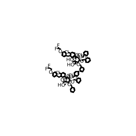 CO[C@@]1(c2ccc(Cl)c(Cc3ccc(OCC(F)F)cc3)c2)OC(CO)(CO)[C@@H](OCc2ccccc2)[C@H](OCc2ccccc2)C1OCc1ccccc1.CO[C@@]1(c2ccc(Cl)c(Cc3ccc(OCC(F)F)cc3)c2)O[C@@](C=O)(CO)[C@@H](OCc2ccccc2)[C@H](OCc2ccccc2)[C@H]1OCc1ccccc1